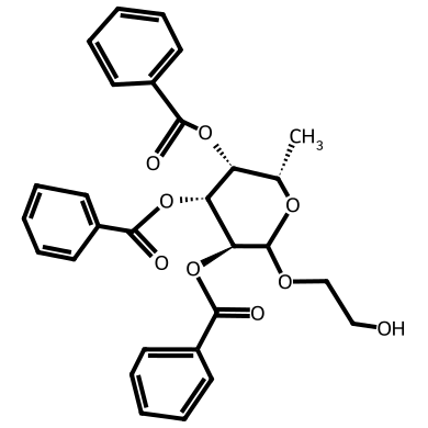 C[C@@H]1OC(OCCO)[C@@H](OC(=O)c2ccccc2)[C@H](OC(=O)c2ccccc2)[C@@H]1OC(=O)c1ccccc1